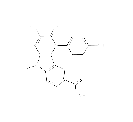 COC(=O)c1ccc2c(c1)c1c(cc(C#N)c(=O)n1-c1ccc(N)cc1)n2C